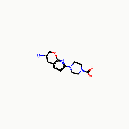 N[C@H]1COc2nc(N3CCN(C(=O)O)CC3)ccc2C1